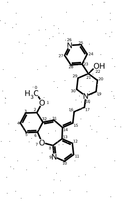 COC1C=CC=C2Oc3ncccc3C(=CCCN3CCC(O)(c4ccncc4)CC3)C=C21